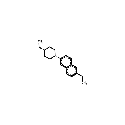 CCc1ccc2cc([C@H]3CC[C@H](CC)CC3)ccc2c1